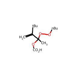 C=C(C(C)(C)C)C(C)(OOCCCC)OC(=O)O